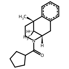 C[C@@H]1[C@@H]2Cc3ccccc3[C@@]1(C)CCN2C(=O)C1CCCC1